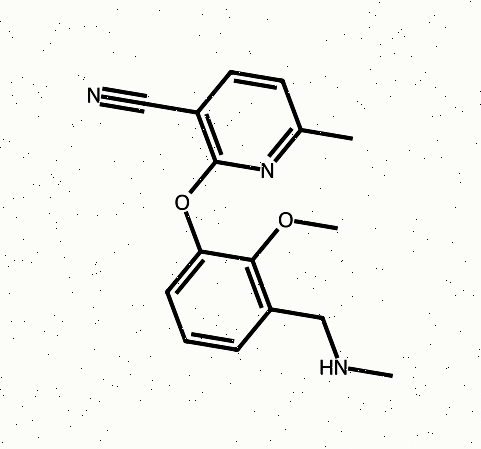 CNCc1cccc(Oc2nc(C)ccc2C#N)c1OC